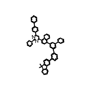 CC1(C)c2ccccc2-c2cc(-c3cccc(-c4cc(-c5ccccc5)cc(-c5ccc(-c6cc(-c7ccc(-c8ccccc8)cc7)nc(-c7ccccc7)n6)c6ccccc56)c4)c3)ccc21